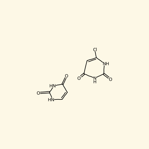 O=c1cc(Cl)[nH]c(=O)[nH]1.O=c1cc[nH]c(=O)[nH]1